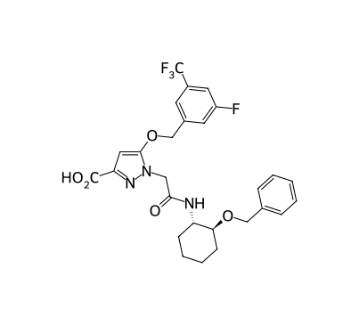 O=C(Cn1nc(C(=O)O)cc1OCc1cc(F)cc(C(F)(F)F)c1)N[C@H]1CCCC[C@@H]1OCc1ccccc1